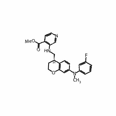 COC(=O)c1ccncc1NC[C@@H]1CCOc2cc(N(C)c3cccc(F)c3)ccc21